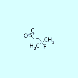 CC(C)(F)CC[S+]([O-])Cl